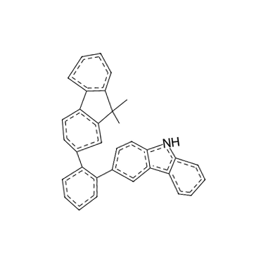 CC1(C)c2ccccc2-c2ccc(-c3ccccc3-c3ccc4[nH]c5ccccc5c4c3)cc21